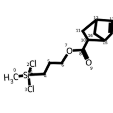 C[Si](Cl)(Cl)CCCOC(=O)C1CC2C=CC1C2